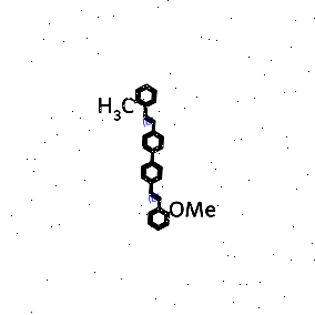 COc1ccccc1/C=C/c1ccc(-c2ccc(/C=C/c3ccccc3C)cc2)cc1